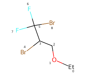 CCO[CH]C(Br)C(F)(F)Br